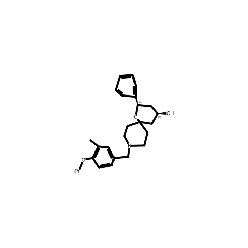 Cc1cc([C]N2CCC3(CC2)C[C@H](O)C[C@H](c2ccccc2)O3)ccc1OC(C)C